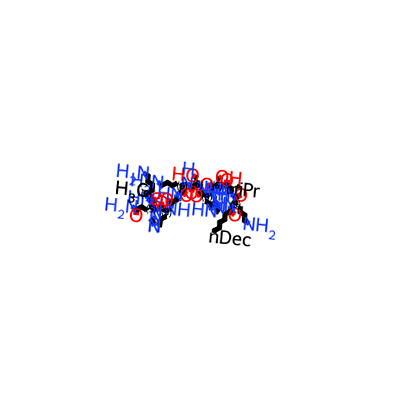 CCCCCCCCCCCCCCCC(=O)N[C@@H](CCCCN)C(=O)N[C@@H](CC(C)C)C(=O)N[C@@H](CO)C(=O)N[C@@H](Cc1cnc[nH]1)C(=O)N[C@@H](CO)C(=O)N[C@@H](CCCCN)C(=O)NCC(=O)N[C@@H](Cc1cnc[nH]1)C(=O)N[C@@H](CCC(N)=O)C(=O)N[C@H](C)CCCCN